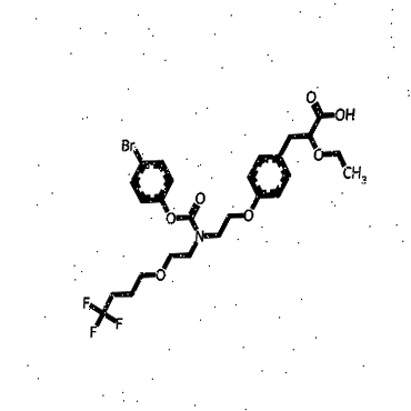 CCOC(Cc1ccc(OCCN(CCOCCCC(F)(F)F)C(=O)Oc2ccc(Br)cc2)cc1)C(=O)O